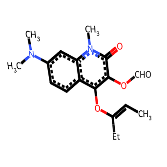 CC=C(CC)Oc1c(OC=O)c(=O)n(C)c2cc(N(C)C)ccc12